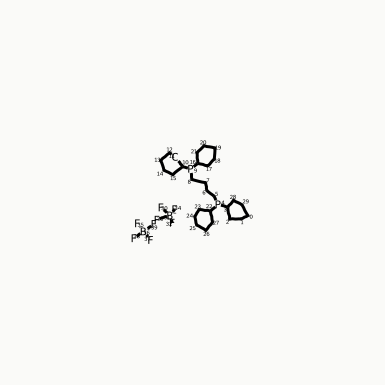 C1CCC(P(CCCCP(C2CCCCC2)C2CCCCC2)C2CCCCC2)CC1.F[B-](F)(F)F.F[B-](F)(F)F